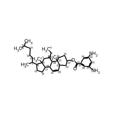 CCC1CC2(C)C(C(C)CCCC(C)C)CCC2C2C=CC3CC(OC(=O)c4cc(N)cc(N)c4)CCC3(C)C12